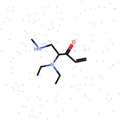 C=CC(=O)C(CNC)N(CC)CC